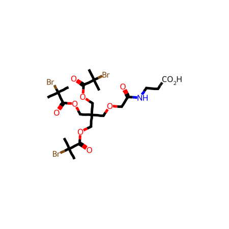 CC(C)(Br)C(=O)OCC(COCC(=O)NCCC(=O)O)(COC(=O)C(C)(C)Br)COC(=O)C(C)(C)Br